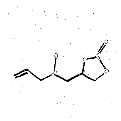 C=CC[S+]([O-])CC1COS(=O)O1